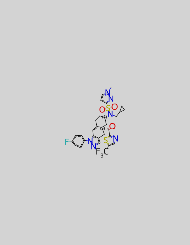 Cn1ccc(S(=O)(=O)N(CC2CC2)[C@H]2CCC3=Cc4c(cnn4-c4ccc(F)cc4)C[C@]3(C(=O)c3ncc(C(F)(F)F)s3)C2)n1